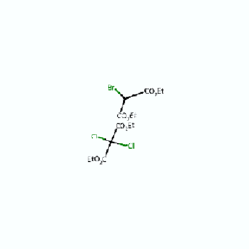 CCOC(=O)C(Br)C(=O)OCC.CCOC(=O)C(Cl)(Cl)C(=O)OCC